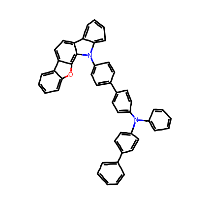 c1ccc(-c2ccc(N(c3ccccc3)c3ccc(-c4ccc(-n5c6ccccc6c6ccc7c8ccccc8oc7c65)cc4)cc3)cc2)cc1